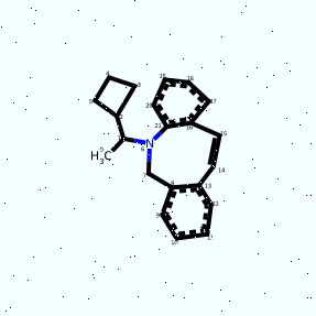 CC(C1CCC1)N1Cc2ccccc2/C=C\c2ccccc21